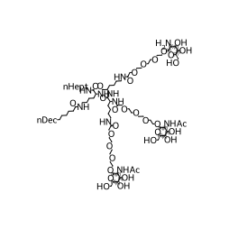 CCCCCCCCCCCCCCCC(=O)NCCCCC(NC(=O)C(CCCCNC(=O)COCCOCCOCCO[C@@H]1O[C@H](CO)[C@H](O)[C@H](O)[C@H]1N)NC(=O)C(CCCCNC(=O)COCCOCCOCCO[C@@H]1O[C@H](CO)[C@H](O)[C@H](O)[C@H]1NC(C)=O)NC(=O)COCCOCCOCCO[C@@H]1O[C@H](CO)[C@H](O)[C@H](O)[C@H]1NC(C)=O)C(=O)NCCCCCCC